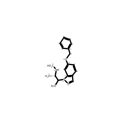 CC(=O)OC([C@H](C)NC(=O)O)n1ncc2ccc(OCc3ccccc3)cc21